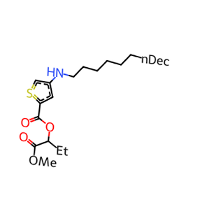 CCCCCCCCCCCCCCCCNc1csc(C(=O)OC(CC)C(=O)OC)c1